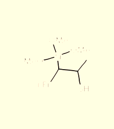 CCCC(C(C)S)[Si](OC)(OC)OC